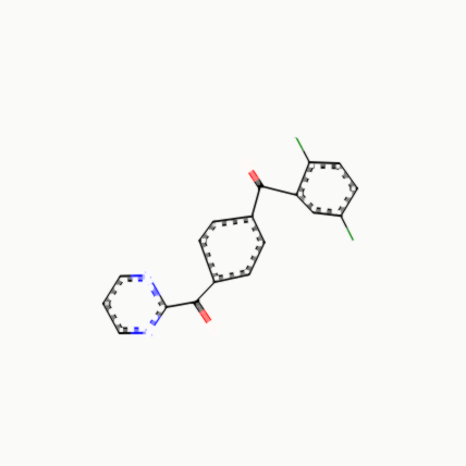 O=C(c1ccc(C(=O)c2cc(Cl)ccc2Cl)cc1)c1ncccn1